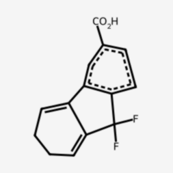 O=C(O)c1ccc2c(c1)C1=CCCC=C1C2(F)F